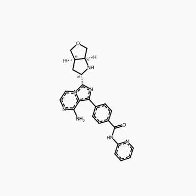 Nc1nccn2c([C@@H]3C[C@H]4COC[C@H]4N3)nc(-c3ccc(C(=O)Nc4ccccn4)cc3)c12